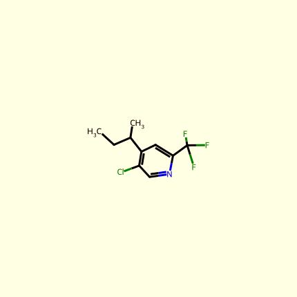 CCC(C)c1cc(C(F)(F)F)ncc1Cl